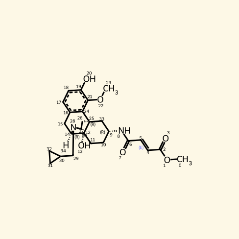 COC(=O)/C=C/C(=O)N[C@@H]1CC[C@@]2(O)[C@H]3Cc4ccc(O)c(OC)c4[C@@]2(CCN3CC2CC2)C1